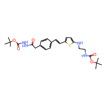 CC(C)(C)OC(=O)NCCNc1ccc(/C=C/c2ccc(CC(=O)NNC(=O)OC(C)(C)C)cc2)s1